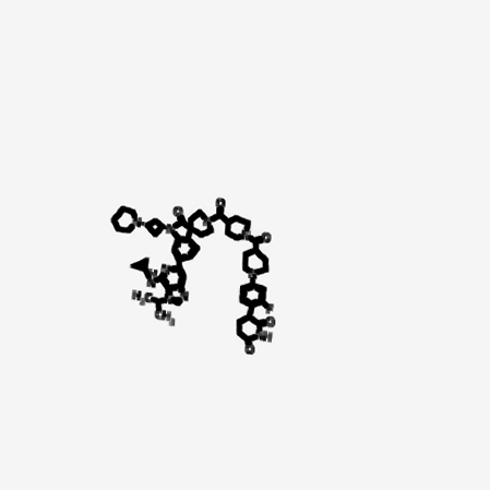 CC(C)n1cnc2cc(-c3ccc4c(c3)N([C@H]3C[C@@H](N5CCCCC5)C3)C(=O)C43CCN(C(=O)C4CCN(C(=O)C5CCN(c6ccc(C7CCC(=O)NC7=O)c(F)c6)CC5)CC4)CC3)nc(NC3CC3)c21